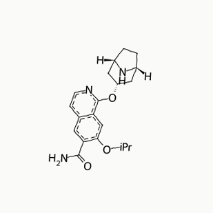 CC(C)Oc1cc2c(O[C@H]3C[C@H]4CC[C@@H](C3)N4)nccc2cc1C(N)=O